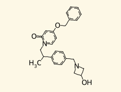 CC(Cn1ccc(OCc2ccccc2)cc1=O)c1ccc(CN2CC(O)C2)cc1